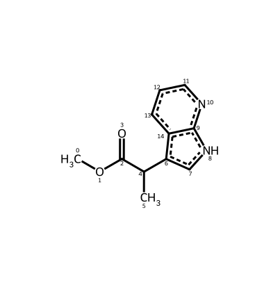 COC(=O)C(C)c1c[nH]c2ncccc12